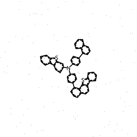 c1ccc2c(-c3ccc(N(c4ccc(-c5cccc6ccc7c8ccccc8sc7c56)cc4)c4ccc5c(c4)sc4ccccc45)cc3)cccc2c1